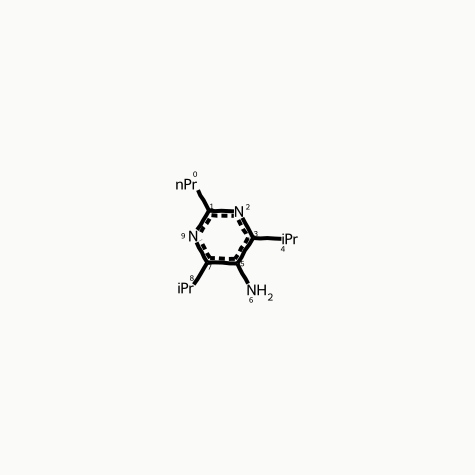 CCCc1nc(C(C)C)c(N)c(C(C)C)n1